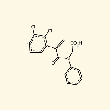 C=C(C(=O)N(CC(=O)O)c1ccccc1)c1cc[c]c(Cl)c1Cl